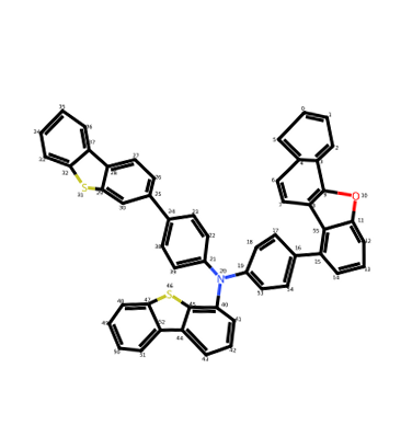 c1ccc2c(c1)ccc1c2oc2cccc(-c3ccc(N(c4ccc(-c5ccc6c(c5)sc5ccccc56)cc4)c4cccc5c4sc4ccccc45)cc3)c21